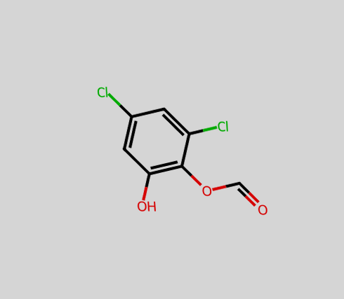 O=COc1c(O)cc(Cl)cc1Cl